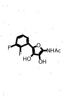 CC(=O)Nc1oc(-c2cccc(F)c2F)c(O)c1O